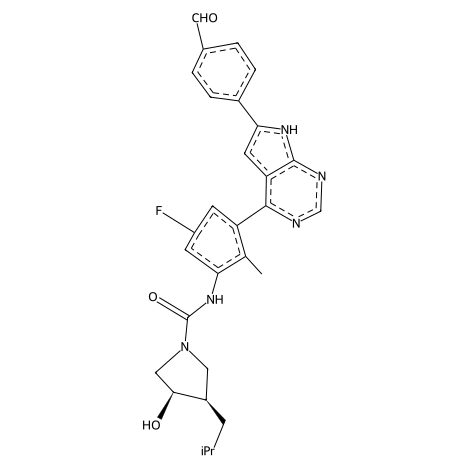 Cc1c(NC(=O)N2C[C@@H](CC(C)C)[C@@H](O)C2)cc(F)cc1-c1ncnc2[nH]c(-c3ccc(C=O)cc3)cc12